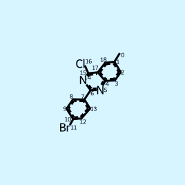 Cc1ccc2nc(-c3ccc(Br)cc3)nc(Cl)c2c1